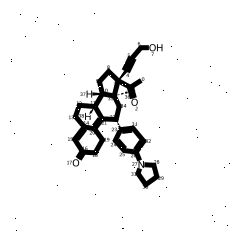 CC(=O)[C@@]1(C#CCO)CC[C@H]2[C@@H]3CCC4=CC(=O)CCC4=C3[C@@H](c3ccc(N4CCCC4)cc3)C[C@@]21C